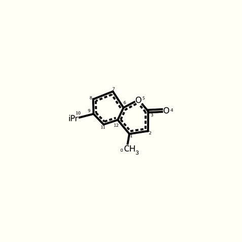 Cc1cc(=O)oc2ccc(C(C)C)cc12